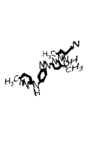 Cc1ccc(Nc2ccc3c(c2)ncn3-c2ccc([C@H](C)O)c(-n3nc(C#N)cc3C)n2)nn1